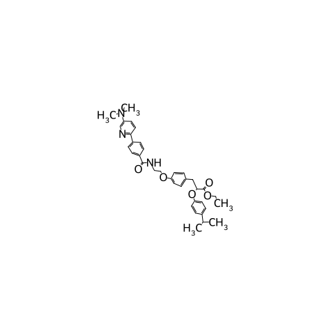 CCOC(=O)C(Cc1ccc(OCCNC(=O)c2ccc(-c3ccc(N(C)C)cn3)cc2)cc1)Oc1ccc(C(C)C)cc1